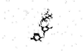 Cc1ccc(Oc2cc(F)c(SC(F)(F)C(F)(F)C(F)(F)S(=O)O)c(F)c2)c(C)c1